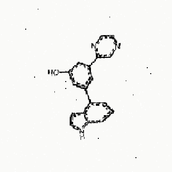 Oc1cc(-c2cnccn2)cc(-c2cccc3[nH]ccc23)c1